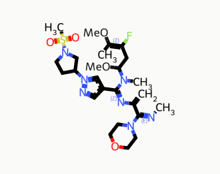 C=C(/N=C(/c1cnn(C2CCN(S(C)(=O)=O)C2)c1)N(C)C(C/C(F)=C(\C)OC)OC)/C(=N\C)N1CCOCC1